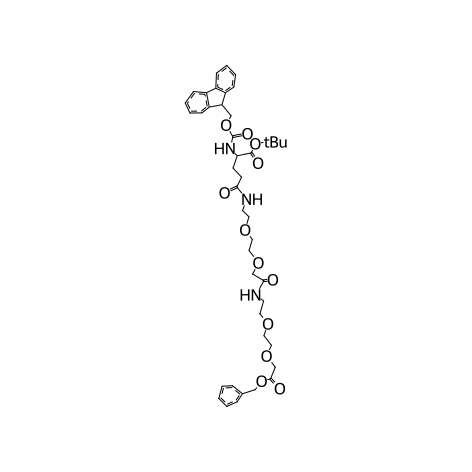 CC(C)(C)OC(=O)C(CCC(=O)NCCOCCOCC(=O)NCCOCCOCC(=O)OCc1ccccc1)NC(=O)OCC1c2ccccc2-c2ccccc21